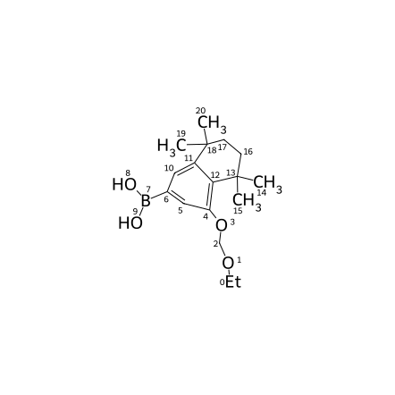 CCOCOc1cc(B(O)O)cc2c1C(C)(C)CCC2(C)C